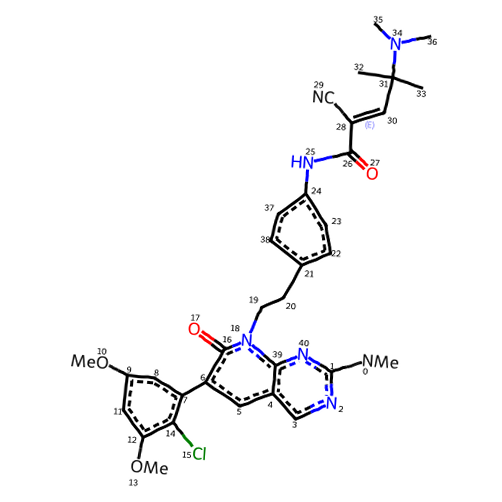 CNc1ncc2cc(-c3cc(OC)cc(OC)c3Cl)c(=O)n(CCc3ccc(NC(=O)/C(C#N)=C/C(C)(C)N(C)C)cc3)c2n1